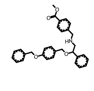 COC(=O)c1ccc(CNCC(OCc2ccc(OCc3ccccc3)cc2)c2ccccc2)cc1